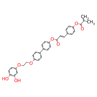 C=C(C)C(=O)Oc1ccc(/C=C/C(=O)Oc2ccc(-c3ccc(OCCOc4ccc(O)c(O)c4)cc3)cc2)cc1